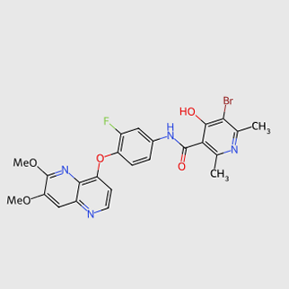 COc1cc2nccc(Oc3ccc(NC(=O)c4c(C)nc(C)c(Br)c4O)cc3F)c2nc1OC